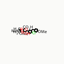 COc1ccc(Cc2cc(C3OC(C(=O)O)C4OC(C)(OC)C(C)(OC)OC4C3O)ccc2Cl)cc1